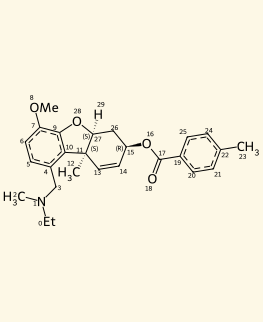 CCN(C)Cc1ccc(OC)c2c1[C@]1(C)C=C[C@H](OC(=O)c3ccc(C)cc3)C[C@@H]1O2